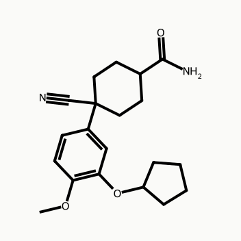 COc1ccc(C2(C#N)CCC(C(N)=O)CC2)cc1OC1CCCC1